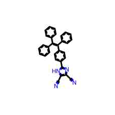 N#Cc1nc(-c2ccc(C(=C(c3ccccc3)c3ccccc3)c3ccccc3)cc2)[nH]c1C#N